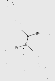 CC(C)N(C)N(C)C(C)C